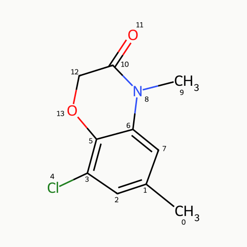 Cc1cc(Cl)c2c(c1)N(C)C(=O)CO2